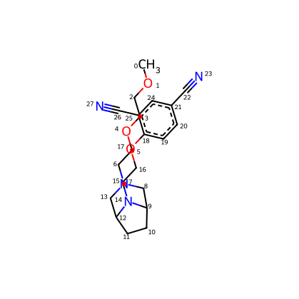 COCCOCCN1CC2CCC(C1)N2CCOc1ccc(C#N)cc1C#N